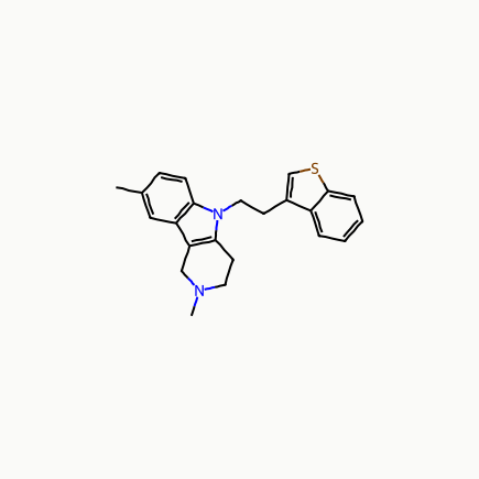 Cc1ccc2c(c1)c1c(n2CCc2csc3ccccc23)CCN(C)C1